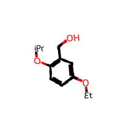 CCOc1ccc(OC(C)C)c(CO)c1